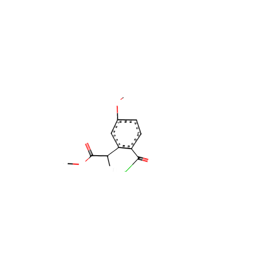 COC(=O)C(C)c1cc(OC)ccc1C(=O)Cl